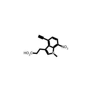 C#Cc1ccc([N+](=O)[O-])c2c1c(CCC(=O)O)cn2C